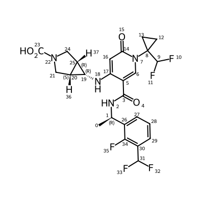 C[C@@H](NC(=O)c1cn(C2(C(F)F)CC2)c(=O)cc1N[C@@H]1[C@@H]2CN(C(=O)O)C[C@@H]21)c1cccc(C(F)F)c1F